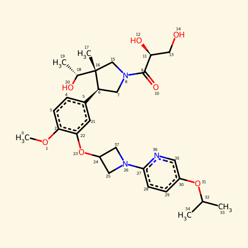 COc1ccc([C@@H]2CN(C(=O)[C@@H](O)CO)C[C@@]2(C)[C@@H](C)O)cc1OC1CN(c2ccc(OC(C)C)cn2)C1